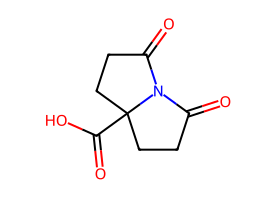 O=C1CCC2(C(=O)O)CCC(=O)N12